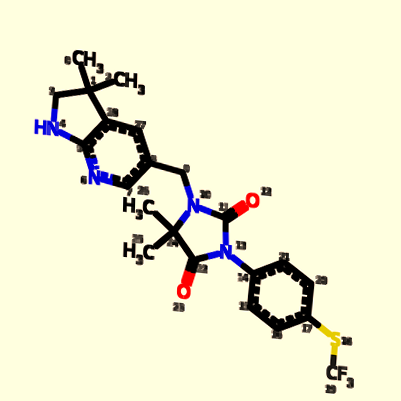 CC1(C)CNc2ncc(CN3C(=O)N(c4ccc(SC(F)(F)F)cc4)C(=O)C3(C)C)cc21